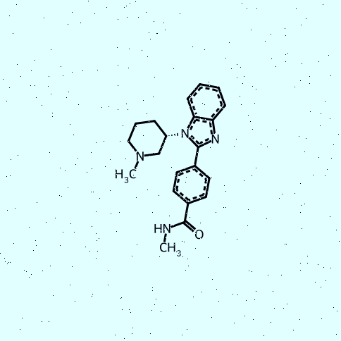 CNC(=O)c1ccc(-c2nc3ccccc3n2[C@H]2CCCN(C)C2)cc1